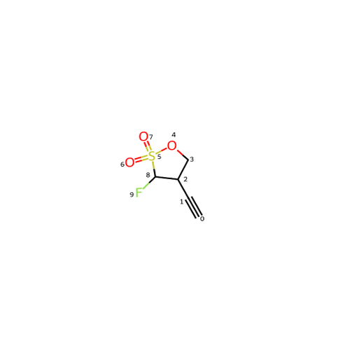 C#CC1COS(=O)(=O)C1F